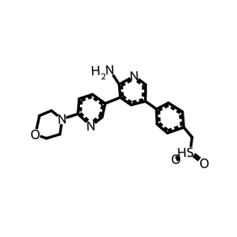 Nc1ncc(-c2ccc(C[SH](=O)=O)cc2)cc1-c1ccc(N2CCOCC2)nc1